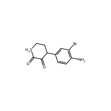 Nc1ccc(C2CC[SH4]C(=O)C2=O)cc1Br